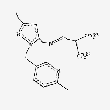 CCOC(=O)C(/C=N/c1cc(C)nn1Cc1ccc(C)nc1)C(=O)OCC